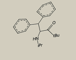 CC(C)NC(C(=O)C(C)(C)C)C(c1ccccc1)c1ccccc1